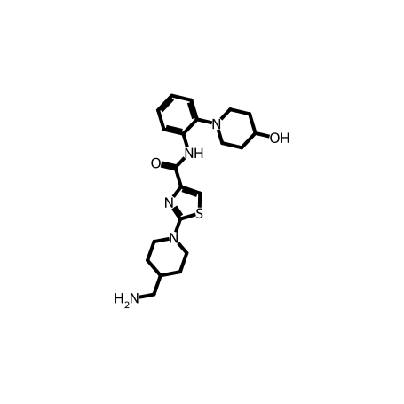 NCC1CCN(c2nc(C(=O)Nc3ccccc3N3CCC(O)CC3)cs2)CC1